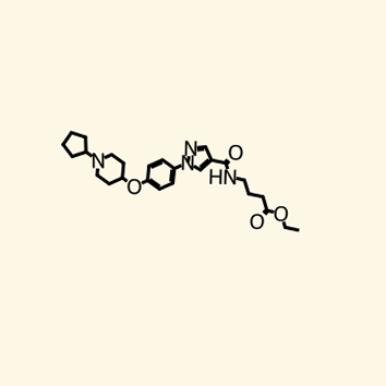 CCOC(=O)CCCNC(=O)c1cnn(-c2ccc(OC3CCN(C4CCCC4)CC3)cc2)c1